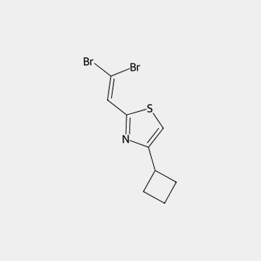 BrC(Br)=Cc1nc(C2CCC2)cs1